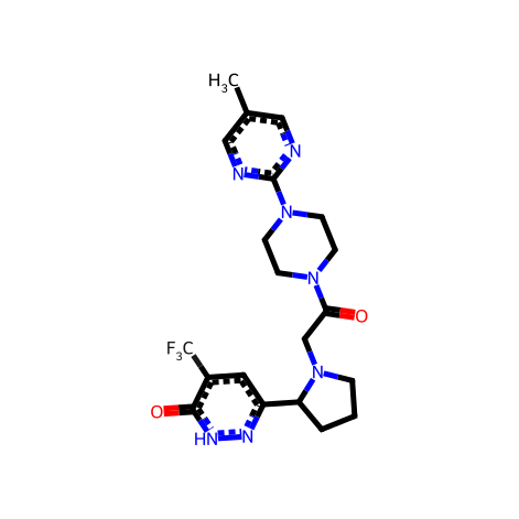 Cc1cnc(N2CCN(C(=O)CN3CCCC3c3cc(C(F)(F)F)c(=O)[nH]n3)CC2)nc1